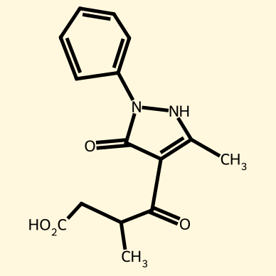 Cc1[nH]n(-c2ccccc2)c(=O)c1C(=O)C(C)CC(=O)O